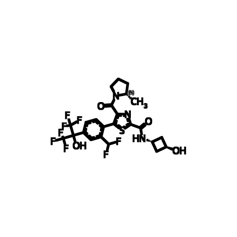 C[C@H]1CCCN1C(=O)c1nc(C(=O)N[C@H]2C[C@H](O)C2)sc1-c1ccc(C(O)(C(F)(F)F)C(F)(F)F)cc1C(F)F